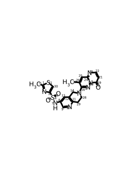 Cc1nc(S(=O)(=O)Nc2cnc3c(c2)CN(c2nn4c(=O)ccnc4cc2C)CC3)cs1